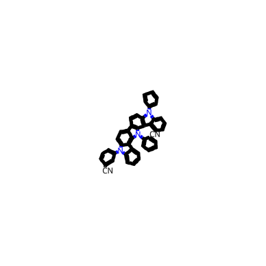 N#Cc1cccc(-n2c3ccccc3c3c2ccc2c4ccc5c(c6ccccc6n5-c5ccccc5)c4n(-c4ccccc4C#N)c23)c1